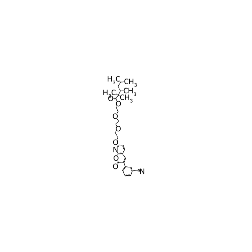 CC(C)CC(C)C(C)(C)C(=O)OCCOCCOCCOc1ccc2cc(-c3cccc(C#N)c3)c(=O)oc2n1